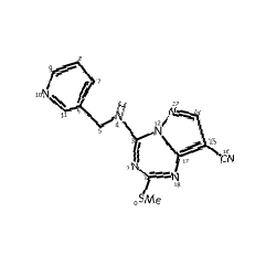 CSc1nc(NCc2cccnc2)n2ncc(C#N)c2n1